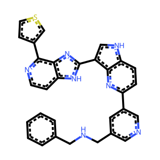 c1ccc(CNCc2cncc(-c3ccc4[nH]cc(-c5nc6c(-c7ccsc7)nccc6[nH]5)c4n3)c2)cc1